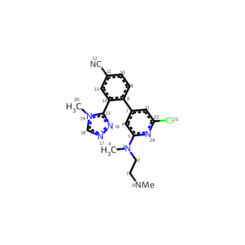 CNCCN(C)c1cc(-c2ccc(C#N)cc2-c2nncn2C)cc(Cl)n1